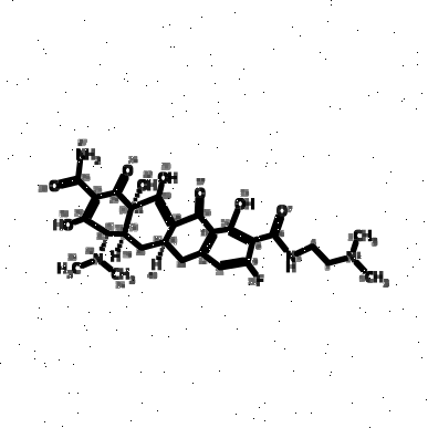 CN(C)CCNC(=O)c1c(F)cc2c(c1O)C(=O)C1=C(O)[C@]3(O)C(=O)C(C(N)=O)=C(O)[C@@H](N(C)C)[C@@H]3C[C@@H]1C2